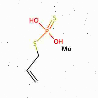 C=CCSP(O)(O)=S.[Mo]